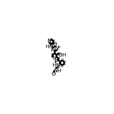 Cn1cc(-c2ccnc(/C=C(\F)C3=C(NCCNC=O)CCCC3)c2CO)nc(Nc2cccnc2)c1=O